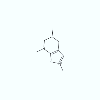 CC1Cc2c[n+](C)sc2N(C)C1